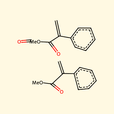 C=C(C(=O)OC)c1ccccc1.C=C(C(=O)OC)c1ccccc1.C=O